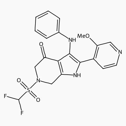 COc1cnccc1-c1[nH]c2c(c1Nc1ccccc1)C(=O)CN(S(=O)(=O)C(F)F)C2